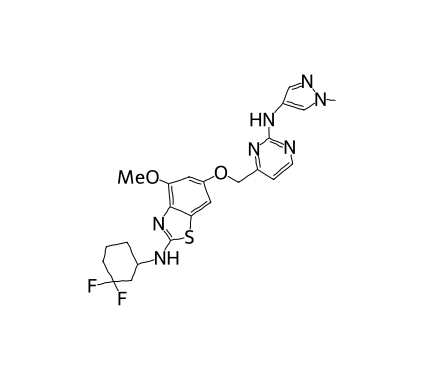 COc1cc(OCc2ccnc(Nc3cnn(C)c3)n2)cc2sc(NC3CCCC(F)(F)C3)nc12